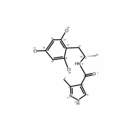 Cc1n[nH]cc1C(=O)N[C@@H](C)Cc1c(Cl)cc(Cl)cc1Cl